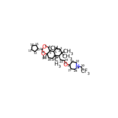 CC1(C)CCC2[C@]3(C)CO[C@@H](C4CCCC4)O[C@@H]3CC[C@@]2(C)[C@@H]1CCOC1CCN(CC(F)(F)F)CC1